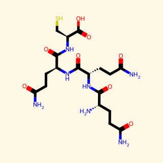 NC(=O)CC[C@H](NC(=O)[C@H](CCC(N)=O)NC(=O)[C@@H](N)CCC(N)=O)C(=O)N[C@@H](CS)C(=O)O